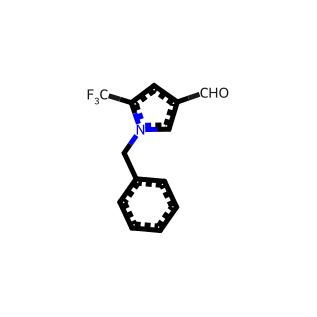 O=Cc1cc(C(F)(F)F)n(Cc2ccccc2)c1